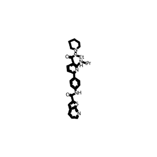 CCN(C(=O)c1ccc(-c2ccc(NC(=O)c3cc4cccnc4s3)cc2)nc1NC(C)C)N1CCCCC1